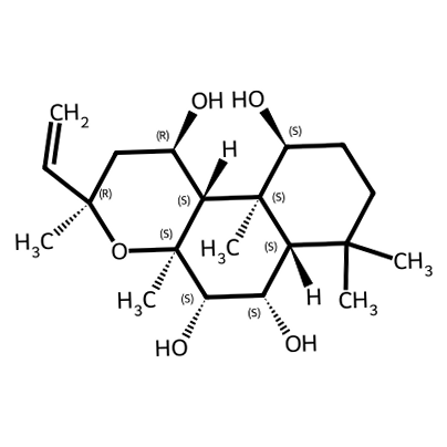 C=C[C@@]1(C)C[C@@H](O)[C@H]2[C@](C)(O1)[C@@H](O)[C@@H](O)[C@H]1C(C)(C)CC[C@H](O)[C@@]12C